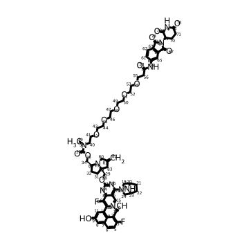 C#Cc1c(F)ccc2cc(O)cc(-c3ncc4c(N5CC6CCC(C5)N6)nc(OC[C@@]56CC[C@@H](COC(=O)N(C)CCOCCOCCOCCOCCOCCC(=O)Nc7ccc8c(c7)C(=O)N(C7CCC(=O)NC7=O)C8=O)N5CC(=C)C6)nc4c3F)c12